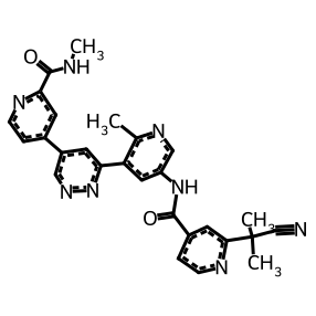 CNC(=O)c1cc(-c2cnnc(-c3cc(NC(=O)c4ccnc(C(C)(C)C#N)c4)cnc3C)c2)ccn1